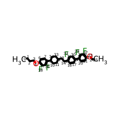 CCCCOc1ccc(C2CCC(CCc3ccc(-c4ccc(OCC)c(F)c4F)cc3F)CC2)c(F)c1F